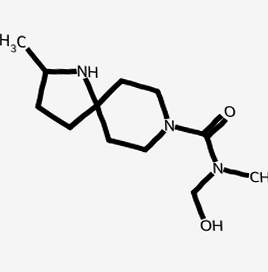 CC1CCC2(CCN(C(=O)N(C)CO)CC2)N1